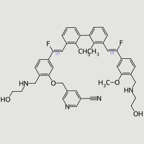 COc1cc(/C(F)=C/c2cccc(-c3cccc(/C=C(\F)c4ccc(CNCCO)c(OCc5cncc(C#N)c5)c4)c3C)c2C)ccc1CNCCO